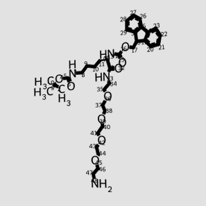 CC(C)(C)OC(=O)NCCCC[C@@H](NC(=O)OCC1c2ccccc2-c2ccccc21)C(=O)NCCOCCOCCOCCOCCN